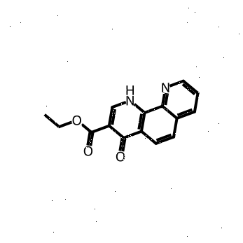 CCOC(=O)c1c[nH]c2c(ccc3cccnc32)c1=O